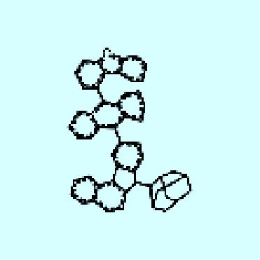 c1ccc2c3c(ccc2c1)C(C1C2CC4CC(C2)CC1C4)c1ccc(-c2c4ccccc4c(-c4cccc5oc6ccccc6c45)c4ccccc24)cc1-3